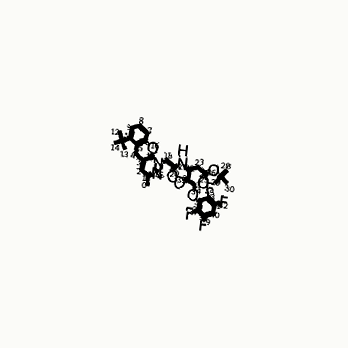 Cc1cc(Cc2ccccc2C(C)(C)C)c(=O)n(CC(=O)NC(CC(=O)OC(C)(C)C)C(=O)COc2c(F)c(F)cc(F)c2F)n1